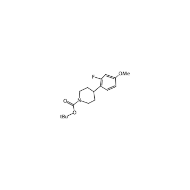 COc1ccc(C2CCN(C(=O)OC(C)(C)C)CC2)c(F)c1